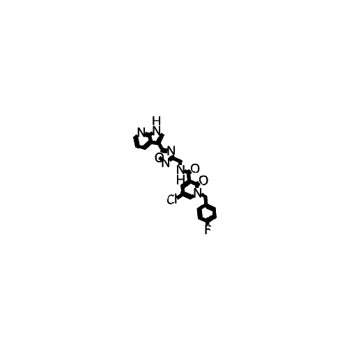 O=C(NCc1noc(-c2c[nH]c3ncccc23)n1)c1cc(Cl)cn(Cc2ccc(F)cc2)c1=O